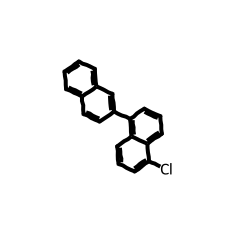 Clc1cccc2c(-c3ccc4ccccc4c3)cccc12